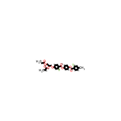 C=CC(=O)OCC(COc1ccc(C(=O)Oc2ccc(OC(=O)c3ccc(C)cc3F)cc2)c(F)c1)OC(=O)C=C